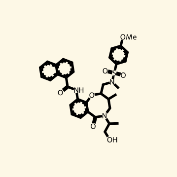 COc1ccc(S(=O)(=O)N(C)CC2Oc3c(NC(=O)c4cccc5ccccc45)cccc3C(=O)N(C(C)CO)CC2C)cc1